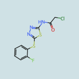 O=C(CCl)Nc1nnc(Sc2ccccc2F)s1